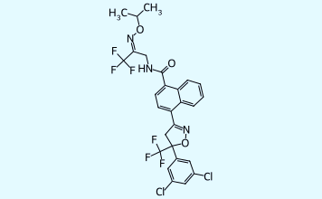 CC(C)O/N=C(\CNC(=O)c1ccc(C2=NOC(c3cc(Cl)cc(Cl)c3)(C(F)(F)F)C2)c2ccccc12)C(F)(F)F